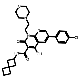 O=C(NC1CC2(CCC2)C1)c1c(O)c2cc(-c3ccc(Cl)cc3)cnc2n(CCN2CCOCC2)c1=O